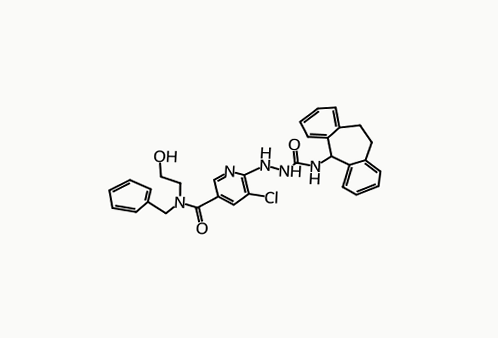 O=C(NNc1ncc(C(=O)N(CCO)Cc2ccccc2)cc1Cl)NC1c2ccccc2CCc2ccccc21